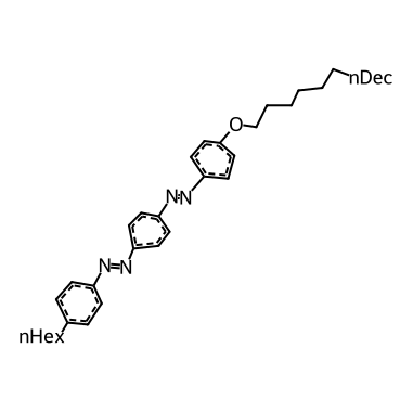 CCCCCCCCCCCCCCCCOc1ccc(N=Nc2ccc(N=Nc3ccc(CCCCCC)cc3)cc2)cc1